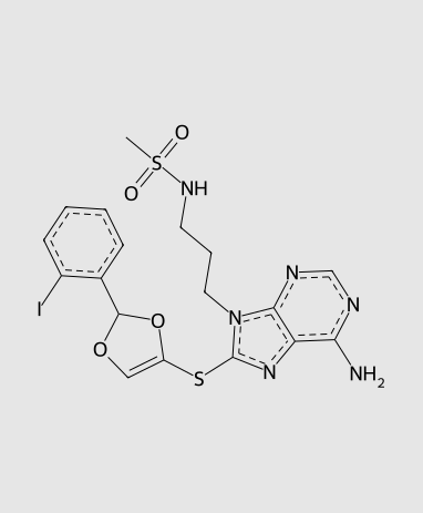 CS(=O)(=O)NCCCn1c(SC2=COC(c3ccccc3I)O2)nc2c(N)ncnc21